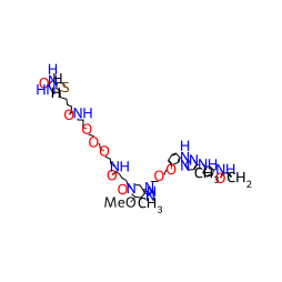 C=CC(=O)Nc1cccc(Nc2nc(Nc3cccc(OCCOCCn4nnc5c4CCN(C(=O)CCCC(=O)NCCCOCCOCCOCCCNC(=O)CCCC[C@@H]4SC[C@@H]6NC(=O)N[C@@H]64)C[C@H](OC)[C@H]5C)c3)ncc2C)c1